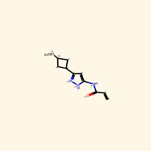 C=CC(=O)Nc1cc(C2CC(NC(C)=O)C2)n[nH]1